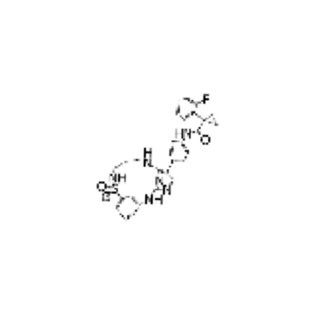 O=C(Nc1ccc(-c2cnc3nc2NCCCNS(=O)(=O)c2cccc(c2)N3)cc1)C1(c2ccccc2F)CC1